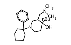 CCCCC1(O)CCN(C2(c3ccccc3)CCCCC2)CC1CN(C)C